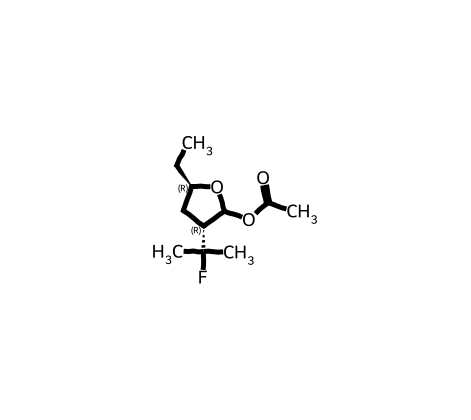 CC[C@@H]1C[C@@H](C(C)(C)F)C(OC(C)=O)O1